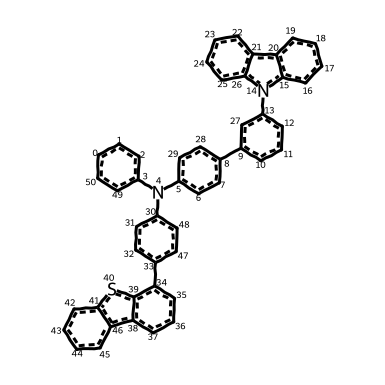 c1ccc(N(c2ccc(-c3cccc(-n4c5ccccc5c5ccccc54)c3)cc2)c2ccc(-c3cccc4c3sc3ccccc34)cc2)cc1